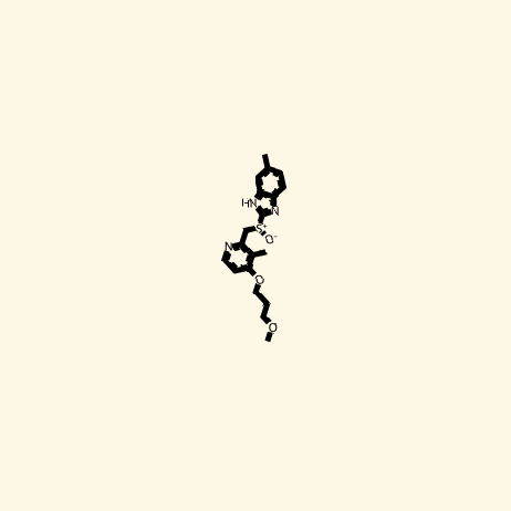 COCCCOc1ccnc(C[S+]([O-])c2nc3ccc(C)cc3[nH]2)c1C